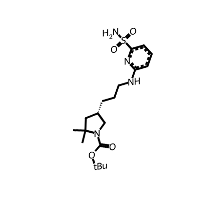 CC(C)(C)OC(=O)N1C[C@@H](CCCNc2cccc(S(N)(=O)=O)n2)CC1(C)C